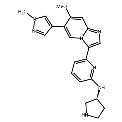 COc1cc2ncc(-c3cccc(N[C@H]4CCNC4)n3)n2cc1-c1cnn(C)c1